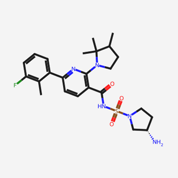 Cc1c(F)cccc1-c1ccc(C(=O)NS(=O)(=O)N2CC[C@H](N)C2)c(N2CCC(C)C2(C)C)n1